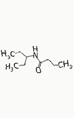 CCCC(=O)NC(CC)CC